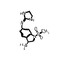 BC1CN(S(C)(=O)=O)c2cc(N=C3NCCN3)ccc21